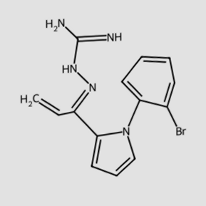 C=CC(=NNC(=N)N)c1cccn1-c1ccccc1Br